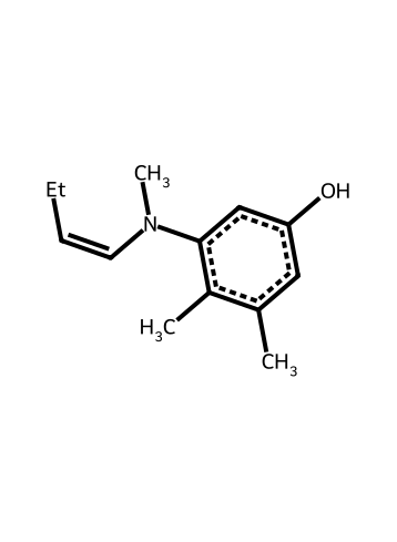 CC/C=C\N(C)c1cc(O)cc(C)c1C